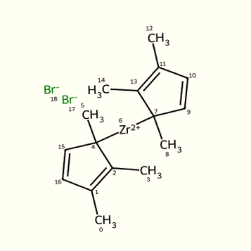 CC1=C(C)[C](C)([Zr+2][C]2(C)C=CC(C)=C2C)C=C1.[Br-].[Br-]